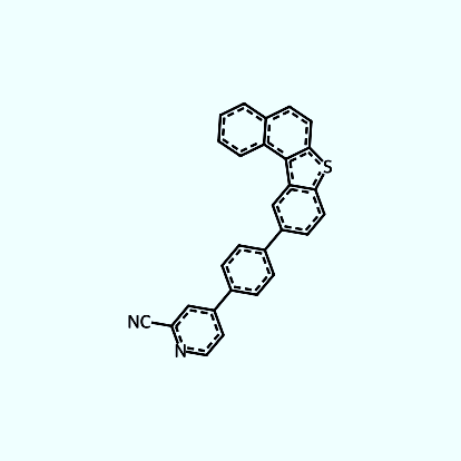 N#Cc1cc(-c2ccc(-c3ccc4sc5ccc6ccccc6c5c4c3)cc2)ccn1